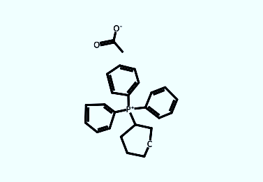 CC(=O)[O-].c1ccc([P+](c2ccccc2)(c2ccccc2)C2CCCCC2)cc1